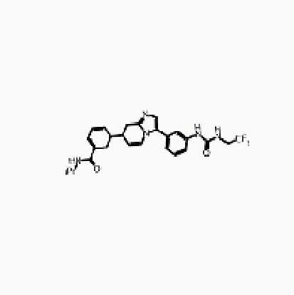 CC(C)NC(=O)C1=CC=CC(C2C=Cn3c(-c4cccc(NC(=O)NCC(F)(F)F)c4)cnc3C2)C1